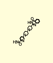 CNC(=O)c1ccc(N2CCC(N3CCC(c4nc5ccccc5c(=O)[nH]4)CC3)CC2)cn1